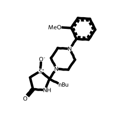 CCCCC1(N2CCN(c3ccccc3OC)CC2)NC(=O)C[S+]1[O-]